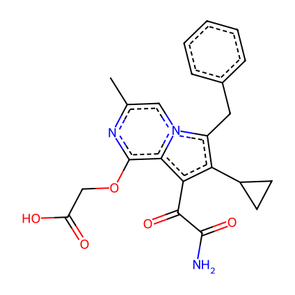 Cc1cn2c(Cc3ccccc3)c(C3CC3)c(C(=O)C(N)=O)c2c(OCC(=O)O)n1